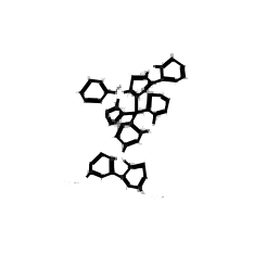 COc1ccc2c(c1)c1cc(OC)ccc1n2-c1ccc2c(c1)Oc1ccccc1C21c2ccccc2P(=O)(c2ccccc2)c2cc3oc4ccccc4c3cc21